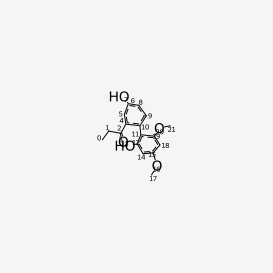 CCC(=O)c1cc(O)ccc1-c1c(O)cc(OC)cc1OC